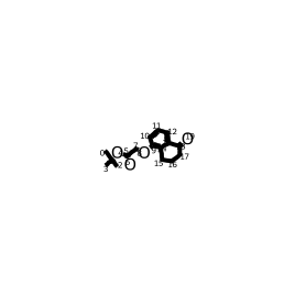 CC(C)(C)OC(=O)COc1cccc2c1CCCC2=O